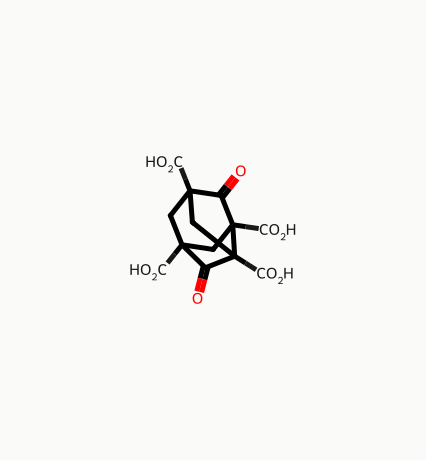 O=C(O)C12CC3(C(=O)O)CC(C(=O)O)(C1=O)C(C(=O)O)(C2)C3=O